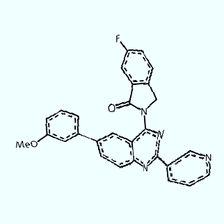 COc1cccc(-c2ccc3nc(-c4cccnc4)nc(N4Cc5ccc(F)cc5C4=O)c3c2)c1